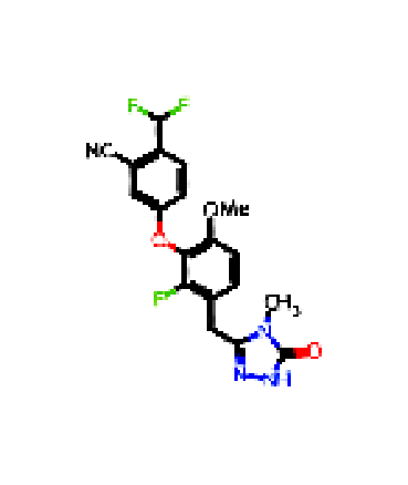 COc1ccc(Cc2n[nH]c(=O)n2C)c(F)c1Oc1ccc(C(F)F)c(C#N)c1